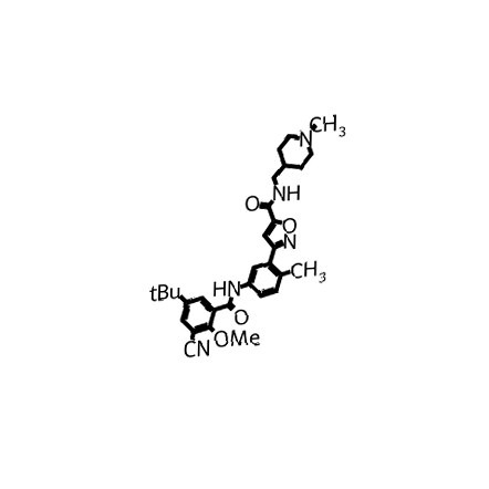 COc1c(C#N)cc(C(C)(C)C)cc1C(=O)Nc1ccc(C)c(-c2cc(C(=O)NCC3CCN(C)CC3)on2)c1